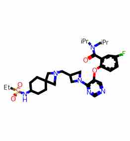 CCS(=O)(=O)NC1CCC2(CC1)CN(CC1CN(c3ncncc3Oc3ccc(F)cc3C(=O)N(C(C)C)C(C)C)C1)C2